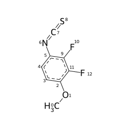 COc1ccc(N=C=S)c(F)c1F